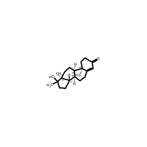 CC1(O)CC[C@H]2[C@@H]3CCC4=CC(=O)CC[C@]4(C)[C@@H]3CC[C@@]21C